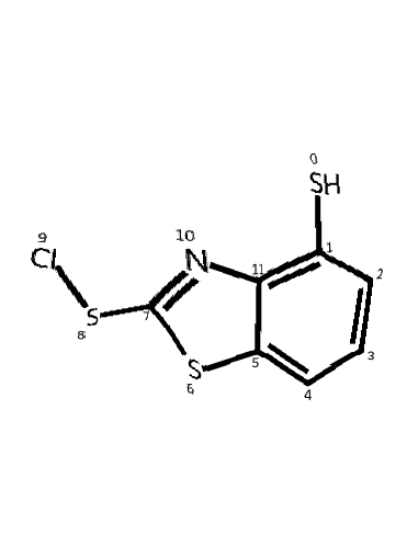 Sc1cccc2sc(SCl)nc12